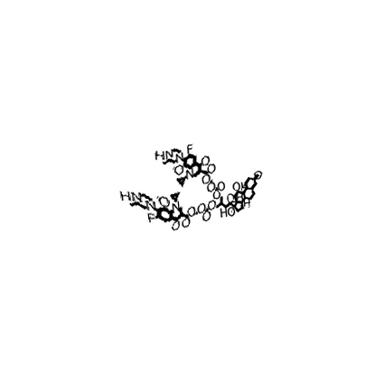 COc1c(N2CCNC(C)C2)c(F)cc2c(=O)c(C(=O)OCOC(=O)OCC([CH]C(=O)[C@]3(O)CC[C@@H]4[C@H]5CCC6=CC(=O)C=C[C@@]6(C)C5[C@H](O)C[C@]43C)COC(=O)OCOC(=O)c3cn(C4CC4)c4c(OC)c(N5CCNC(C)C5)c(F)cc4c3=O)cn(C3CC3)c12